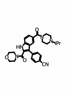 CC(C)N1CCN(C(=O)c2ccc3[nH]c(C(=O)N4CCOCC4)c(-c4ccc(C#N)cc4)c3c2)CC1